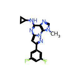 Cn1cnc2c(NC3CC3)nc3cc(-c4cc(F)cc(F)c4)nn3c21